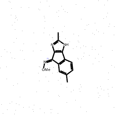 CO/N=C1\c2cc(C)ccc2-c2[nH]c(C)nc21